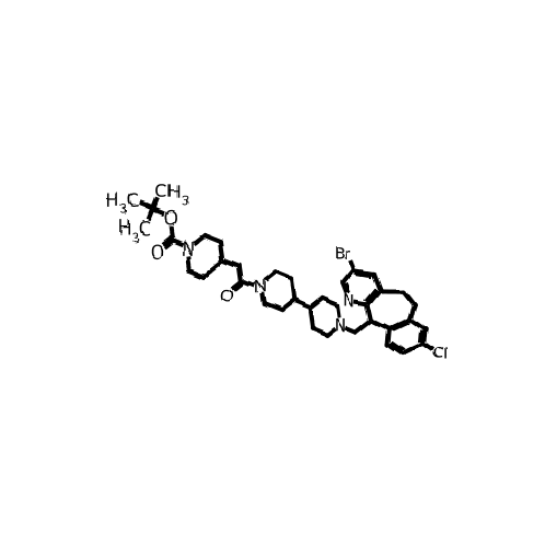 CC(C)(C)OC(=O)N1CCC(CC(=O)N2CCC(C3CCN(CC4c5ccc(Cl)cc5CCc5cc(Br)cnc54)CC3)CC2)CC1